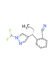 CC[C@@H](c1cnn(C(F)F)c1)c1ccccc1C#N